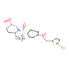 O=C(O)C1CCC(O)CN1S(=O)(=O)c1ccc(OCc2ccc(Cl)s2)cc1